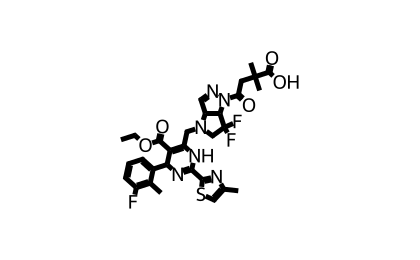 CCOC(=O)C1=C(CN2CC(F)(F)C3C2C=NN3C(=O)CC(C)(C)C(=O)O)NC(c2nc(C)cs2)=NC1c1cccc(F)c1C